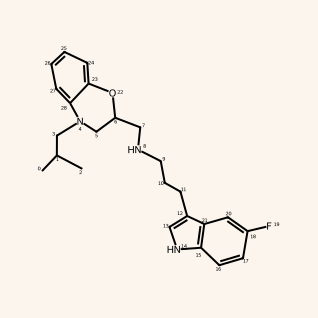 CC(C)CN1CC(CNCCCc2c[nH]c3ccc(F)cc23)Oc2ccccc21